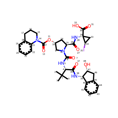 CC(C)(C)[C@H](NC(=O)N1C[C@H](OC(=O)N2CCCc3ccccc32)C[C@H]1C(=O)N[C@]1(C(=O)O)C[C@H]1I)C(=O)N[C@H]1c2ccccc2C[C@H]1O